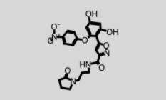 O=C(NCCCN1CCCC1=O)c1cc(-c2c(O)cc(O)cc2Oc2ccc([N+](=O)[O-])cc2)on1